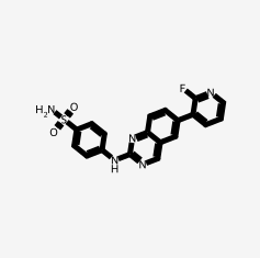 NS(=O)(=O)c1ccc(Nc2ncc3cc(-c4cccnc4F)ccc3n2)cc1